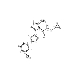 Nc1onc(-c2ccc(-c3cccc(C(F)(F)F)c3)o2)c1C(=O)NCC1CC1